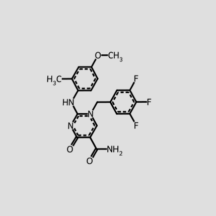 COc1ccc(Nc2nc(=O)c(C(N)=O)cn2Cc2cc(F)c(F)c(F)c2)c(C)c1